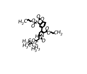 C=CCOC(=O)C1=C(c2ccc3oc(=O)n(C(=O)OCC=C)c3c2)C[C@@H]2[C@@H]([C@@H](C)O[Si](C)(C)C)C(=O)N12